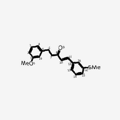 COc1cccc(CCC(=O)C=Cc2cc[c]c(SC)c2)c1